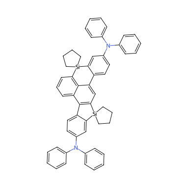 c1ccc(N(c2ccccc2)c2ccc3c(c2)[Si]2(CCCC2)c2cc4c5c(cccc5c2-3)[Si]2(CCCC2)c2cc(N(c3ccccc3)c3ccccc3)ccc2-4)cc1